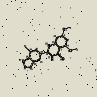 COc1cc(OC)c2c(=O)[nH]c(-c3cc(C)c4occc4c3)nc2c1